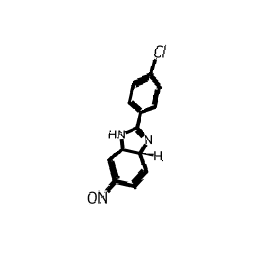 O=NC1=CC2NC(c3ccc(Cl)cc3)=N[C@@H]2C=C1